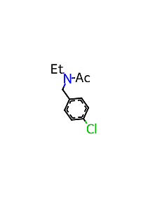 CCN(Cc1ccc(Cl)cc1)C(C)=O